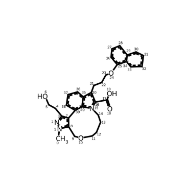 Cn1nc(CCO)c2c1COCCCCn1c(C(=O)O)c(CCCOc3cccc4ccccc34)c3cccc-2c31